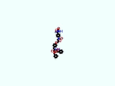 O=C(OCc1ccccc1)C(Cc1ccc(OCC2CN(c3ccc(-c4noc(=O)[nH]4)cc3)C(=O)O2)cc1)NS(=O)(=O)Cc1ccccc1